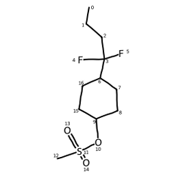 CCCC(F)(F)C1CCC(OS(C)(=O)=O)CC1